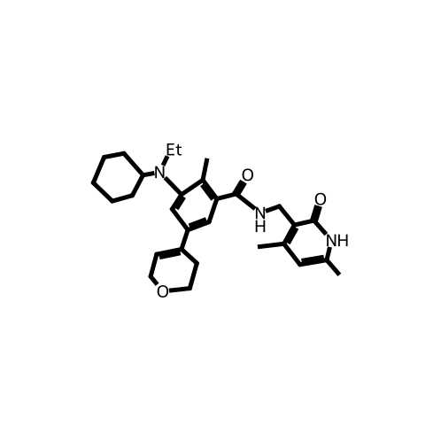 CCN(c1cc(C2=CCOCC2)cc(C(=O)NCc2c(C)cc(C)[nH]c2=O)c1C)C1CCCCC1